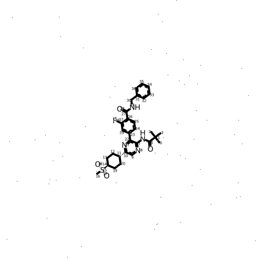 CC(C)(C)C(=O)Nc1ncc([C@H]2CC[C@H](S(C)(=O)=O)CC2)nc1-c1ccc(C(=O)NCc2ccccc2)c(F)c1